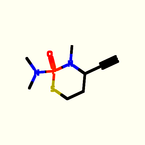 C#CC1CCSP(=O)(N(C)C)N1C